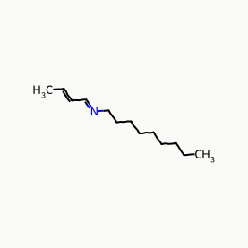 C/C=C/C=N/CCCCCCCCC